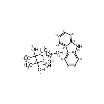 CC(C)(O)C(C)(C)O.OB(O)O.c1ccc2c(c1)[nH]c1ccccc12